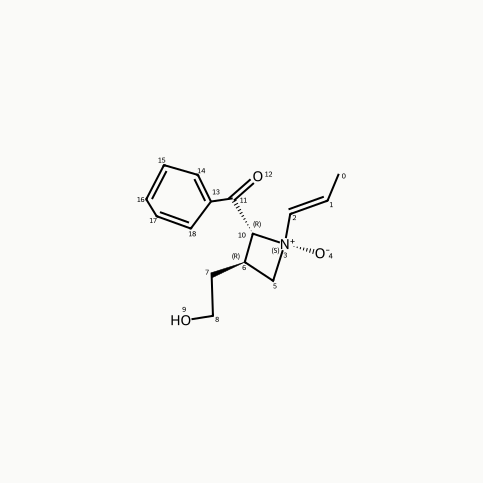 CC=C[N@@+]1([O-])C[C@@H](CCO)[C@@H]1C(=O)c1ccccc1